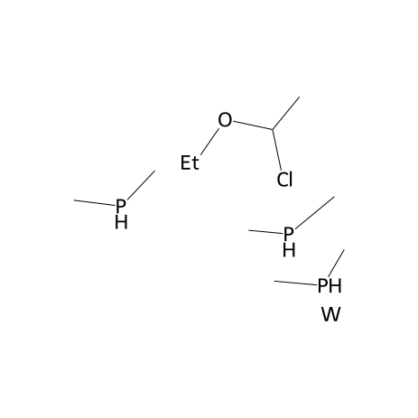 CCOC(C)Cl.CPC.CPC.CPC.[W]